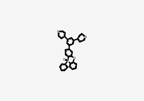 O=P1(c2ccccc2)c2ccccc2Oc2cc(-c3cc(-c4ccncc4)cc(-c4ccncc4)c3)ccc21